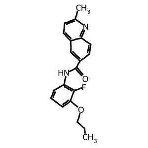 CCCOc1cccc(NC(=O)c2ccc3nc(C)ccc3c2)c1F